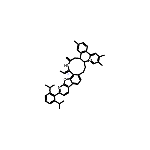 C=C1CC2c3cc(C)ccc3-c3cc(C)c(C)c[n+]3C2CCc2ccc3c(oc4nc(-c5c(C(C)C)cccc5C(C)C)ccc43)c2/C(=C/C)N1